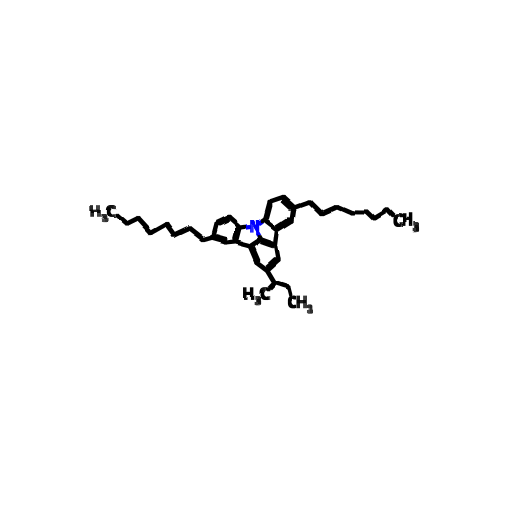 CCCCCCCCc1ccc2c(c1)c1cc(C(C)CC)cc3c4cc(CCCCCCCC)ccc4n2c13